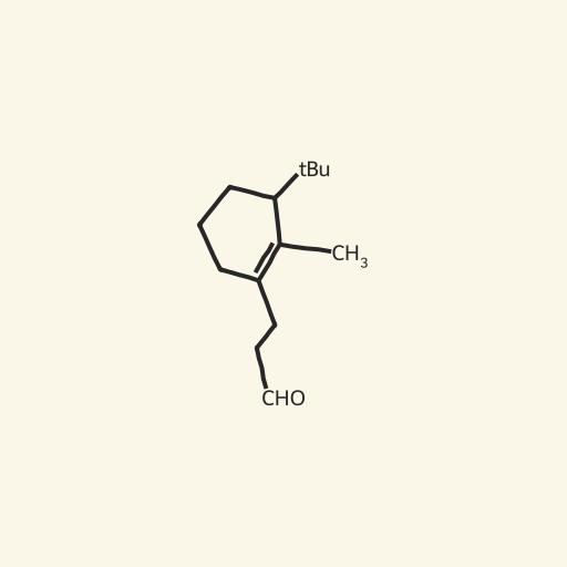 CC1=C(CCC=O)CCCC1C(C)(C)C